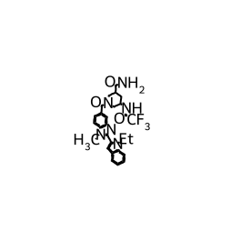 CCn1c(-c2nc3cc(C(=O)N4CC(NC(=O)C(F)(F)F)CC(C(N)=O)C4)ccc3n2C)cc2ccccc21